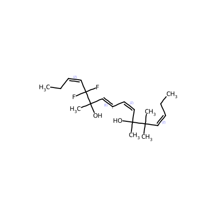 CC/C=C\C(C)(C)C(C)(O)/C=C\[C]=C\C(C)(O)C(F)(F)/C=C\CC